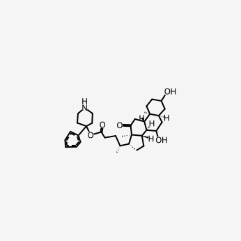 C[C@H](CCC(=O)OC1(c2ccccc2)CCNCC1)[C@H]1CC[C@H]2[C@@H]3C(O)C[C@@H]4CC(O)CC[C@]4(C)[C@H]3CC(=O)[C@]12C